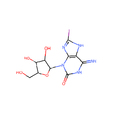 N=c1[nH]c(=O)n(C2OC(CO)C(O)C2O)c2nc(I)[nH]c12